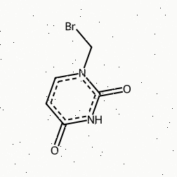 O=c1ccn(CBr)c(=O)[nH]1